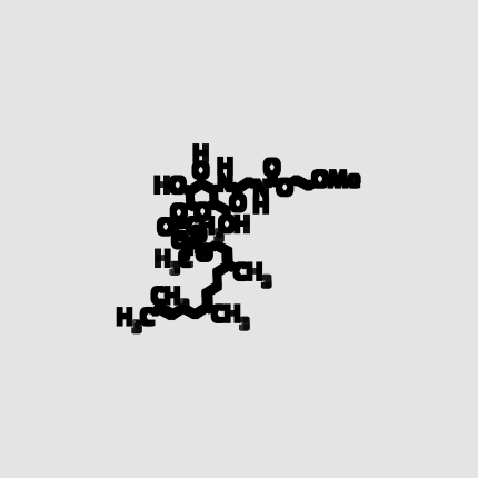 COCCOC(=O)NCC(=O)N[C@@H]1C(CO)O[C@H](O[P@](C)(=O)O[P@](C)(=O)OC/C=C(/C)CC/C=C(\C)CCC=C(C)C)C(O)[C@H]1O